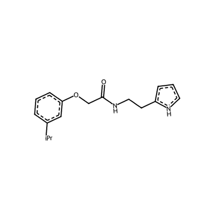 CC(C)c1cccc(OCC(=O)NCCc2ccc[nH]2)c1